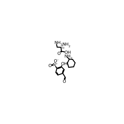 NC1CCCCC1.NC[C@H](N)C(=O)O.O=Cc1ccc([N+](=O)[O-])c(O)c1